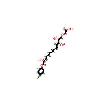 O=C(O)COC[C@@H](O)[C@H](O)C=CC=CC=CC=C[C@H](O)COc1ccc(F)cc1